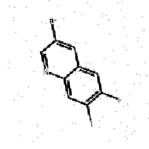 Fc1cc2cc(Br)cnc2cc1I